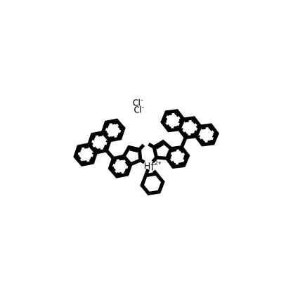 CC1=Cc2c(-c3c4ccccc4cc4ccccc34)cccc2[CH]1[Hf+2]1([CH]2C(C)=Cc3c(-c4c5ccccc5cc5ccccc45)cccc32)[CH]2CCCC[CH]21.[Cl-].[Cl-]